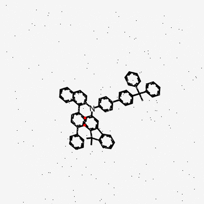 CC1(C)c2ccccc2-c2cc(N(c3ccc(-c4ccc(C(C)(c5ccccc5)c5ccccc5)cc4)cc3)c3ccc4ccccc4c3-c3ccc(-c4ccccc4)cc3)ccc21